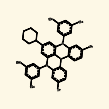 CC(C)c1ccc2c(c1)N(c1cc(C(C)(C)C)cc(C(C)(C)C)c1)c1cc(C3CCCCC3)cc3c1B2c1ccc(C(C)C)cc1N3c1cc(C(C)(C)C)cc(C(C)(C)C)c1